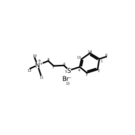 Cc1ccc(SCCC[N+](C)(C)C)cc1.[Br-]